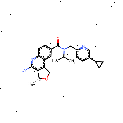 CC(C)N(Cc1ccc(C2CC2)cn1)C(=O)c1ccc2nc(N)c3c(c2c1)CO[C@@H]3C